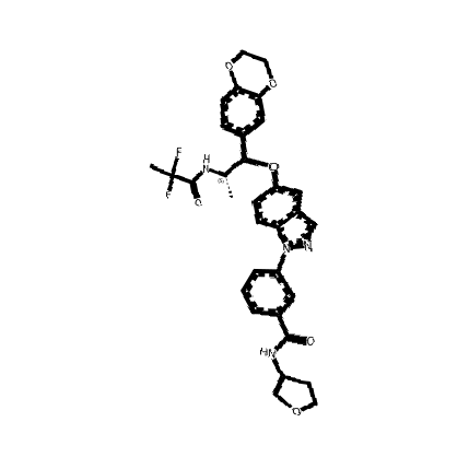 C[C@H](NC(=O)C(C)(F)F)C(Oc1ccc2c(cnn2-c2cccc(C(=O)NC3CCOC3)c2)c1)c1ccc2c(c1)OCCO2